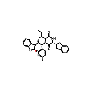 CC[C@H](C)C1C(=O)N[C@H](C2Cc3ccccc3C2)C(=O)N1C(C(=O)n1c(=O)oc2ccccc21)c1ccc(C)nc1C